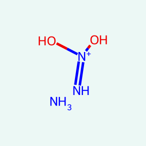 N.N=[N+](O)O